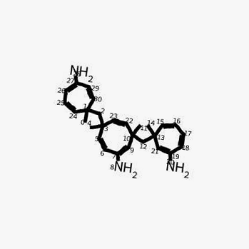 CC1(CC2(C)/C=C\C(N)=C/C(C)(CC3(C)C=CC=CC(N)=C3)/C=C\2)C=CC=C(N)C=C1